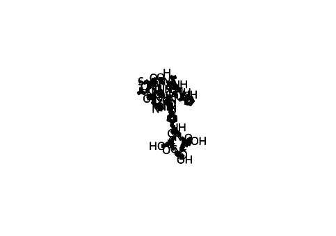 CSCC[C@H](NC(=O)[C@H](CC(C)C)NC(=O)[C@@H](N)Cc1c[nH]cn1)C(=O)NC(=O)CNC(=O)[C@@H](NC(=O)[C@H](C)NC(=O)[C@H](Cc1c[nH]c2ccccc12)NC(=O)[C@H](CCC(N)=O)NC(=O)COc1ccc(CNC(=O)CN2CCN(CC(=O)O)CCN(CC(=O)O)CCN(CC(=O)O)CC2)cc1)C(C)C